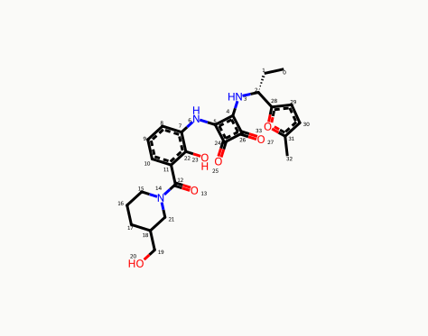 CC[C@@H](Nc1c(Nc2cccc(C(=O)N3CCCC(CO)C3)c2O)c(=O)c1=O)c1ccc(C)o1